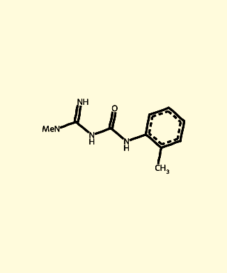 CNC(=N)NC(=O)Nc1ccccc1C